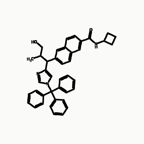 CC(CO)C(c1ccc2cc(C(=O)NC3CCC3)ccc2c1)c1cn(C(c2ccccc2)(c2ccccc2)c2ccccc2)cn1